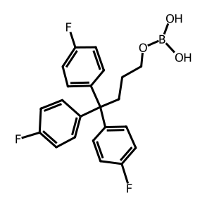 OB(O)OCCCC(c1ccc(F)cc1)(c1ccc(F)cc1)c1ccc(F)cc1